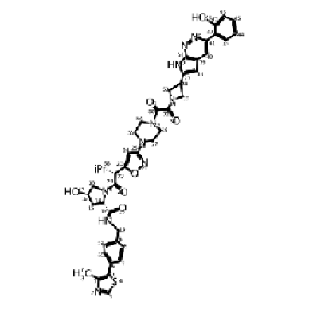 Cc1ncsc1-c1ccc(CNC(=O)[C@@H]2C[C@@H](O)CN2C(=O)[C@@H](c2cc(N3CCN(C(=O)C(=O)N4CC(c5cc6cc(-c7ccccc7O)nnc6[nH]5)C4)CC3)no2)C(C)C)cc1